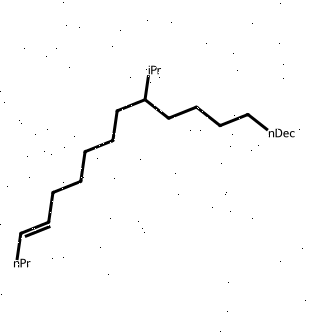 [CH2]CC/C=C/CCCCCC(CCCCCCCCCCCCC[CH2])C(C)C